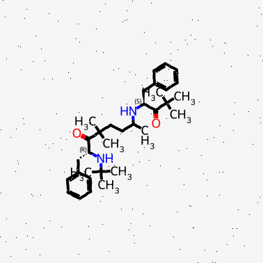 CC(CCC(C)(C)C(=O)[C@@H](Cc1ccccc1)NC(C)(C)C)N[C@@H](Cc1ccccc1)C(=O)C(C)(C)C